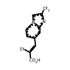 CC/C(=C\c1ccn2cc(C(F)(F)F)nc2c1)C(=O)O